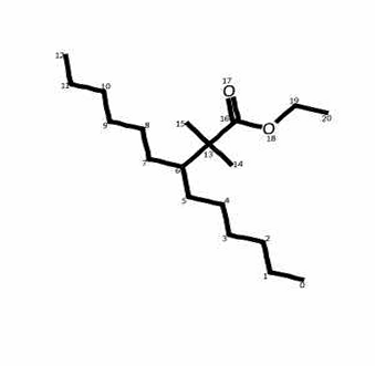 CCCCCCC(CCCCCC)C(C)(C)C(=O)OCC